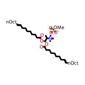 CCCCCCCCC=CCCCCCCCC(=O)OC(OC(=O)CCCCCCCC=CCCCCCCCC)C(C)[N+](C)(C)C.COS(=O)(=O)[O-]